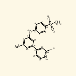 CC(=O)c1cc(Oc2ccc(S(C)(=O)=O)cc2)cc(-c2ccnc(F)c2)c1